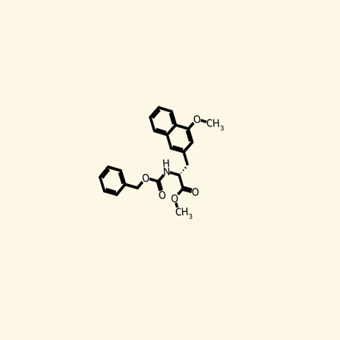 COC(=O)[C@@H](Cc1cc(OC)c2ccccc2c1)NC(=O)OCc1ccccc1